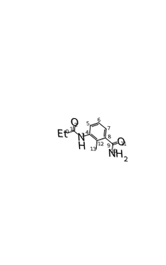 CCC(=O)Nc1cccc(C(N)=O)c1C